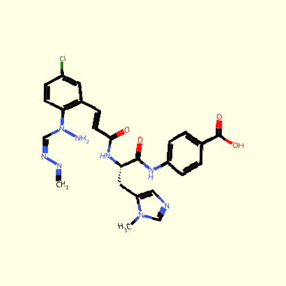 C=N/N=C\N(N)c1ccc(Cl)cc1/C=C/C(=O)N[C@@H](Cc1cncn1C)C(=O)Nc1ccc(C(=O)O)cc1